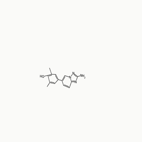 Cc1cc(-c2ccc3nc(N)nn3c2)cc(C)c1O